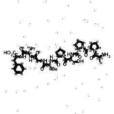 CC[C@H](C)[C@H](NC(=O)[C@@H]1CCCN1C(=O)[C@H](CO)NC(=O)[C@@H]1CCCN1C(=O)[C@@H]1CCCN1C(=O)[C@H](C)N)C(=O)NCC(=O)N[C@H](C(=O)N[C@@H](Cc1ccccc1)C(=O)O)C(C)C